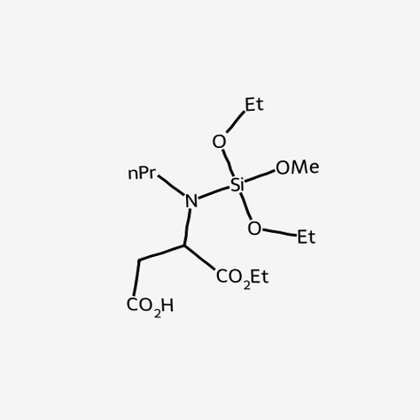 CCCN(C(CC(=O)O)C(=O)OCC)[Si](OC)(OCC)OCC